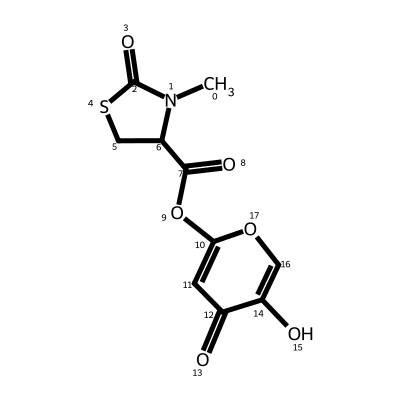 CN1C(=O)SCC1C(=O)Oc1cc(=O)c(O)co1